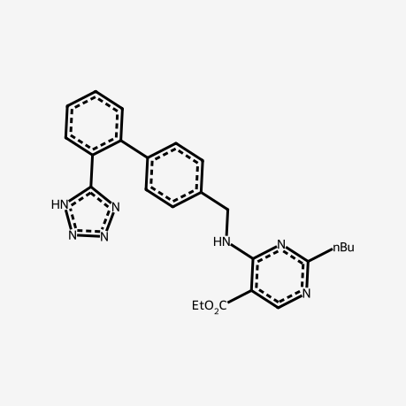 CCCCc1ncc(C(=O)OCC)c(NCc2ccc(-c3ccccc3-c3nnn[nH]3)cc2)n1